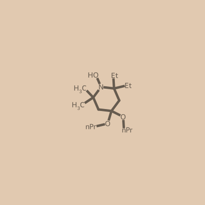 CCCOC1(OCCC)CC(C)(C)N(O)C(CC)(CC)C1